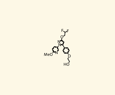 COc1ccc(-n2nc(OCC(F)F)cc2-c2ccc(OCCO)cc2)cn1